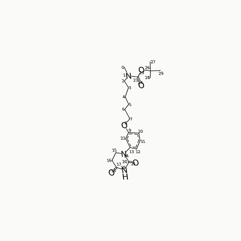 CN(CCCCCCOc1cccc(N2CCC(=O)NC2=O)c1)C(=O)OC(C)(C)C